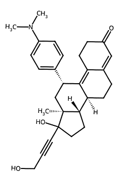 CN(C)c1ccc([C@H]2C[C@@]3(C)[C@@H](CCC3(O)C#CCO)[C@@H]3CCC4=CC(=O)CCC4=C32)cc1